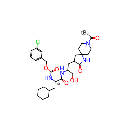 CC(C)(C)C(=O)N1CCC2(CC1)CC(CC(CO)NC(=O)[C@H](CC1CCCCC1)NC(=O)OCc1cccc(Cl)c1)C(=O)N2